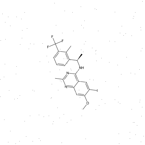 COc1cc2nc(C)nc(N[C@H](C)c3cccc(C(F)(F)F)c3C)c2cc1I